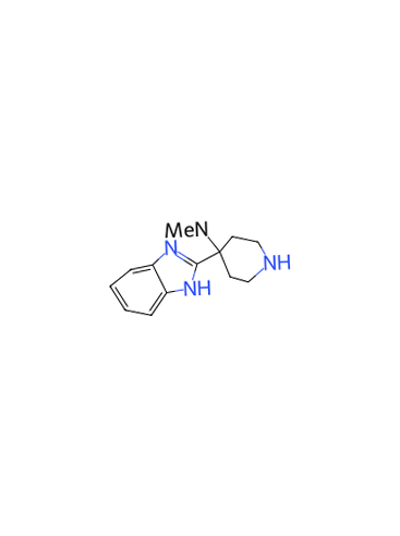 CNC1(c2nc3ccccc3[nH]2)CCNCC1